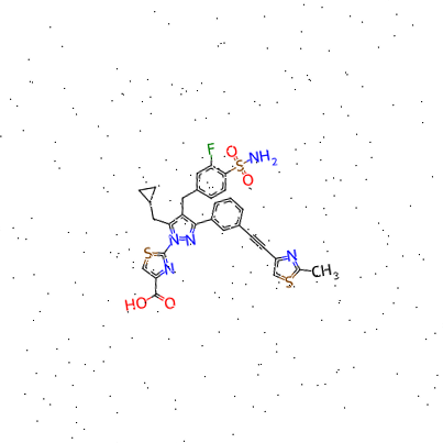 Cc1nc(C#Cc2cccc(-c3nn(-c4nc(C(=O)O)cs4)c(CC4CC4)c3Cc3ccc(S(N)(=O)=O)c(F)c3)c2)cs1